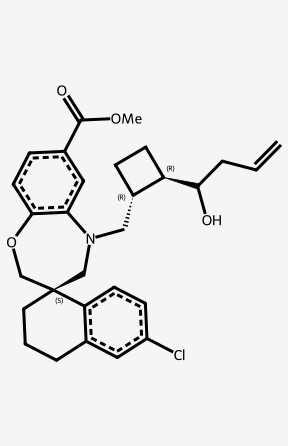 C=CCC(O)[C@@H]1CC[C@H]1CN1C[C@@]2(CCCc3cc(Cl)ccc32)COc2ccc(C(=O)OC)cc21